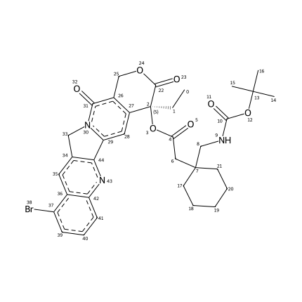 CC[C@@]1(OC(=O)CC2(CNC(=O)OC(C)(C)C)CCCCC2)C(=O)OCc2c1cc1n(c2=O)Cc2cc3c(Br)cccc3nc2-1